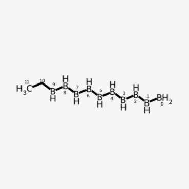 BBBBBBBBBBCC